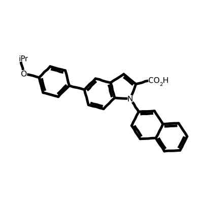 CC(C)Oc1ccc(-c2ccc3c(c2)cc(C(=O)O)n3-c2ccc3ccccc3c2)cc1